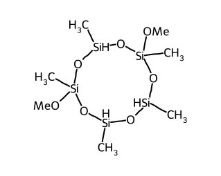 CO[Si]1(C)O[SiH](C)O[SiH](C)O[Si](C)(OC)O[SiH](C)O1